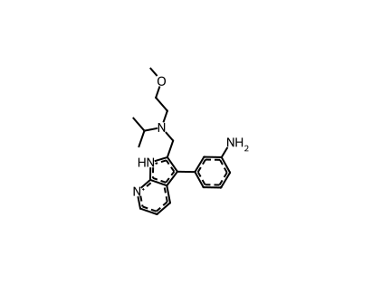 COCCN(Cc1[nH]c2ncccc2c1-c1cccc(N)c1)C(C)C